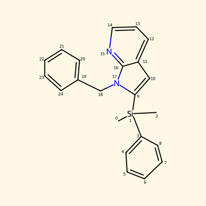 C[Si](C)(c1ccccc1)c1cc2cccnc2n1Cc1ccccc1